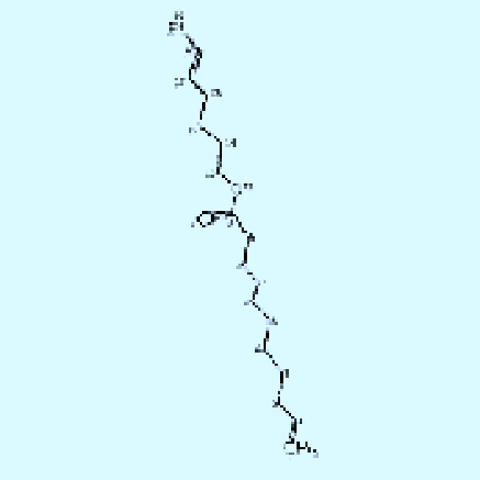 C=CCCCCCCCCC(=O)OCCCCC=CCC